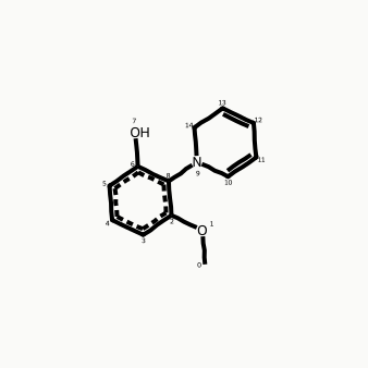 COc1cccc(O)c1N1C=CC=CC1